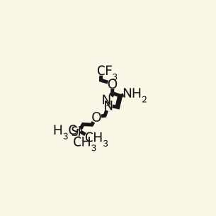 C[Si](C)(C)CCOCn1cc(N)c(OCC(F)(F)F)n1